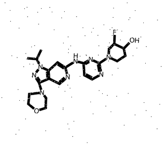 CC(C)n1nc(N2CCOCC2)c2cnc(Nc3ccnc(N4CCC(O)C(F)C4)n3)cc21